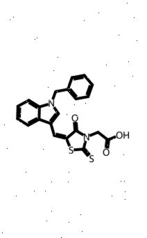 O=C(O)CN1C(=O)C(=Cc2cn(Cc3ccccc3)c3ccccc23)SC1=S